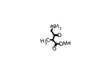 COC(=O)C(C)C(=O)CN